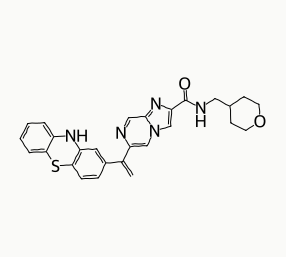 C=C(c1ccc2c(c1)Nc1ccccc1S2)c1cn2cc(C(=O)NCC3CCOCC3)nc2cn1